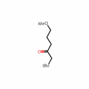 COCCCC(=O)CC(C)(C)C